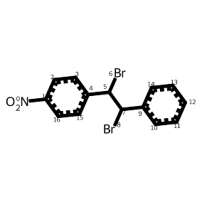 O=[N+]([O-])c1ccc(C(Br)C(Br)c2ccccc2)cc1